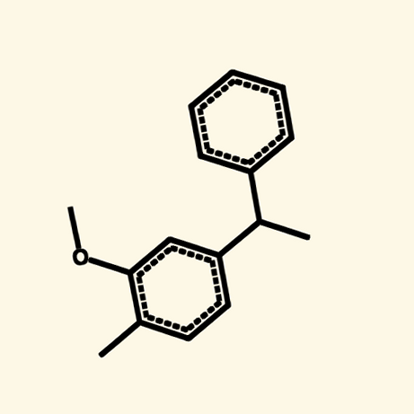 COc1cc(C(C)c2ccccc2)ccc1C